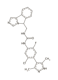 Cc1n[nH]c(C)c1-c1cc(F)c(NC(=O)NCC2c3ccccc3-c3cncn32)cc1Cl